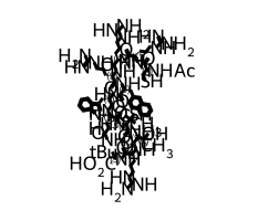 CC(=O)N[C@@H](CS)C(=O)N[C@@H](CCCNC(=N)N)C(=O)N[C@H](CCCNC(=N)N)C(=O)N[C@@H](CCCNC(=N)N)C(=O)N[C@@H](Cc1ccc2ccccc2c1)C(=O)N[C@@H](Cc1c[nH]c2ccccc12)C(=O)N[C@@H](CCC(N)=O)C(=O)N[C@H](C(=O)N[C@H](C(=O)N[C@@H](CCCNC(=N)N)C(=O)N[C@H](C(=O)O)C(C)(C)C)[C@@H](C)O)C(C)(C)S